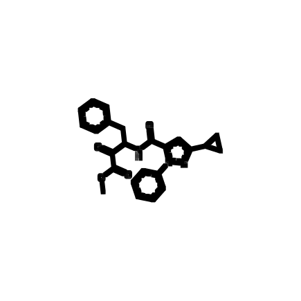 COC(=O)C(=O)C(Cc1ccccc1)NC(=O)c1cc(C2CC2)nn1-c1ccccc1